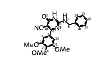 COc1cc(-c2nc(NCc3ccccc3)[nH]c(=O)c2C#N)cc(OC)c1OC